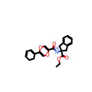 CCOC(=O)C1(NC(=O)C2=COC(C3=CC=CCC3)=CO2)Cc2ccccc2C1